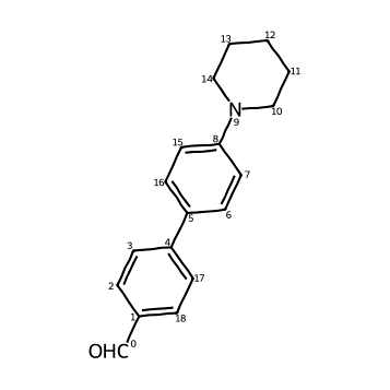 O=Cc1ccc(-c2ccc(N3CCCCC3)cc2)cc1